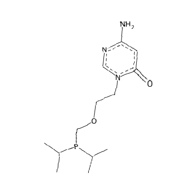 CC(C)P(COCCn1cnc(N)cc1=O)C(C)C